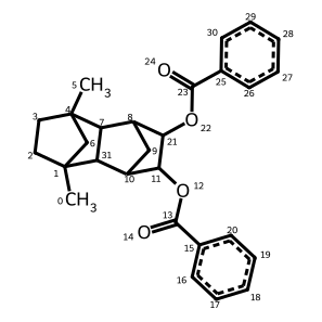 CC12CCC(C)(C1)C1C3CC(C(OC(=O)c4ccccc4)C3OC(=O)c3ccccc3)C12